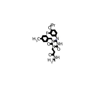 Cc1ccc(Cn2c(=O)n(CCC(=O)NN)c(=O)[nH]/c2=N/c2ccc(OC(C)C)c(F)c2)cc1